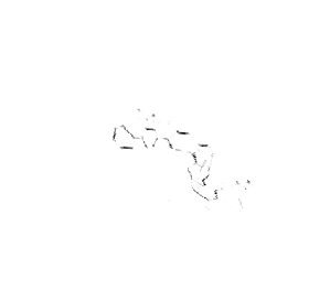 COc1cc2cc[n+]3cc4c(OC)c(C)c(C)cc4cc3c2cc1-c1ccc(-c2ccccc2)cc1